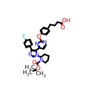 CC(C)(C)OC(=O)N1CCCCC1n1cnc(-c2ccc(F)cc2)c1-c1ccnc(Oc2ccc(CCCC(=O)O)cc2)n1